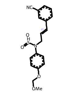 COCOc1ccc(N(C/C=C/c2cccc(C#N)c2)[SH](=O)=O)cc1